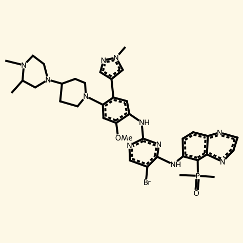 COc1cc(N2CCC(N3CCN(C)C(C)C3)CC2)c(-c2cnn(C)c2)cc1Nc1ncc(Br)c(Nc2ccc3nccnc3c2P(C)(C)=O)n1